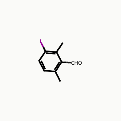 Cc1ccc(I)c(C)c1C=O